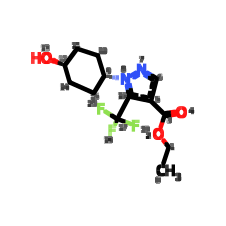 CCOC(=O)c1cnn([C@H]2CC[C@H](O)CC2)c1C(F)(F)F